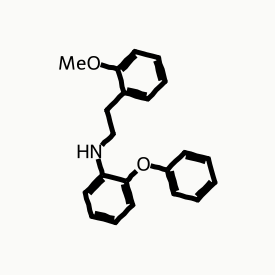 COc1ccccc1CCNc1ccccc1Oc1ccccc1